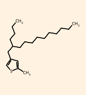 CCCCCCCCCCC(CCCC)Cc1csc(C)c1